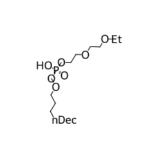 CCCCCCCCCCCCCOOP(=O)(O)OCCOCCOCC